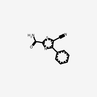 N#Cc1sc(C(N)=O)nc1-c1ccccc1